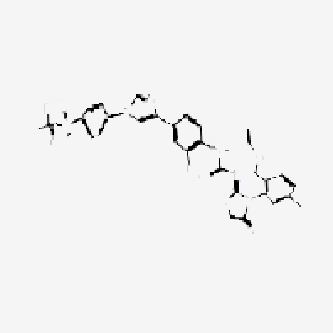 CCOCc1ccc(C)cc1N1C(=O)CS/C1=N\C(=O)Nc1ccc(-c2cn(-c3ccc(S(=O)(=O)C(F)(F)F)cc3)cn2)cc1F